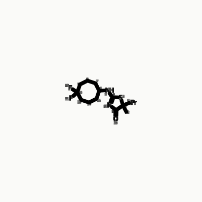 CC(C)C1(C)SC(NC2CCCC(F)(F)CCC2)=NC1=O